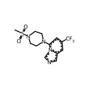 CS(=O)(=O)N1CCN(c2cc(C(F)(F)F)cc3cncn23)CC1